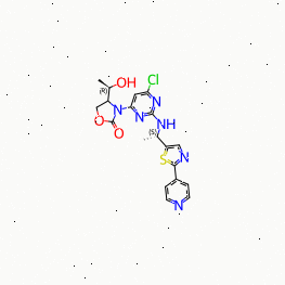 C[C@H](Nc1nc(Cl)cc(N2C(=O)OCC2[C@@H](C)O)n1)c1cnc(-c2ccncc2)s1